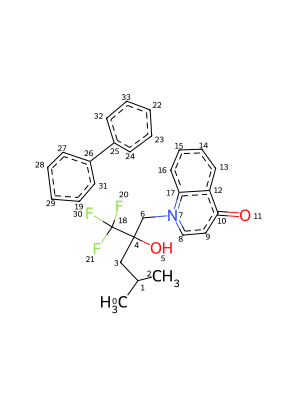 CC(C)CC(O)(Cn1ccc(=O)c2ccccc21)C(F)(F)F.c1ccc(-c2ccccc2)cc1